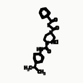 CC(C)c1ccc(NC(=O)N2CCN(C(=O)SC(=O)c3ccccc3)CC2)cc1.Cl